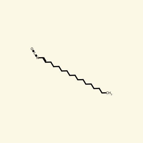 CCCCCCCCCCCCCCCC=CN=C=O